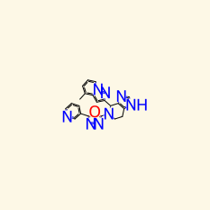 Cc1cccn2nc(C3c4nc[nH]c4CCN3c3nnc(-c4cccnc4)o3)cc12